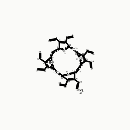 C=CC1=C(C=C)c2cc3[nH]c(cc4nc(cc5[nH]c(cc1n2)c(C=C)c5C=C)C(C=C)=C4C=C)c(C=C)c3C=C.[Pt]